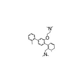 Cc1ccccc1-c1ccc(C2=C(CN(C)C)[CH]CC=C2)c(OCCN(C)C)c1